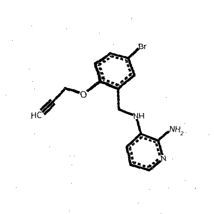 C#CCOc1ccc(Br)cc1CNc1cccnc1N